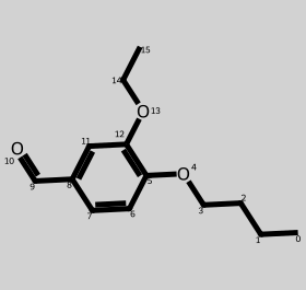 CCCCOc1ccc(C=O)cc1OCC